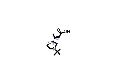 C/C(=C\C(=O)O)[C@@H]1CN(C(C)(C)C)CCO1